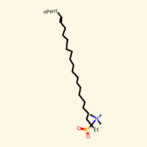 CCCCCC=CCCCCCCCCCCCCCCCCC(CC)(P(=O)=O)[N+](C)(C)C